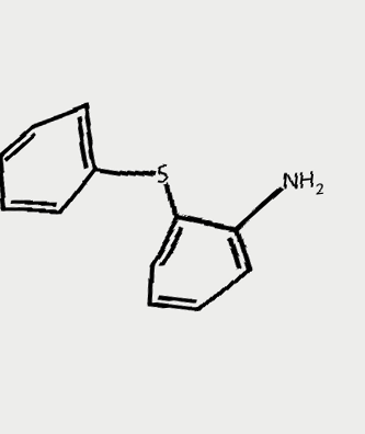 Nc1ccccc1Sc1ccccc1